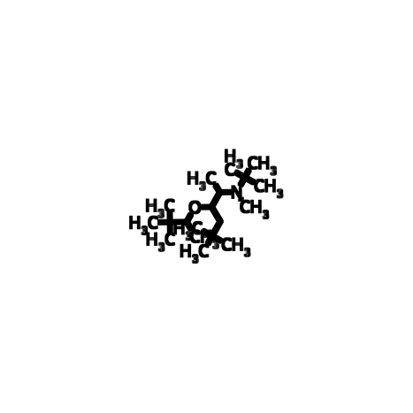 CC(C(CC(C)(C)C)OC(C)C(C)(C)C)N(C)C(C)(C)C